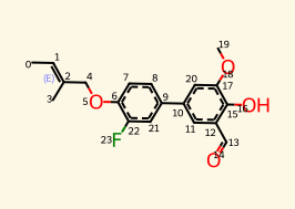 C/C=C(\C)COc1ccc(-c2cc(C=O)c(O)c(OC)c2)cc1F